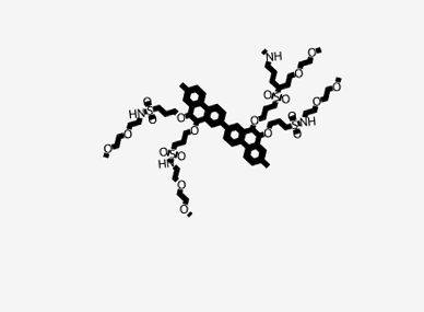 CNCCCC(CCOCCOC)S(=O)(=O)CCCOC1c2cc(-c3ccc4c(c3)C(OCCCS(=O)(=O)NCCOCCOC)C(OCCCS(=O)(=O)NCCOCCOC)c3cc(C)ccc3-4)ccc2-c2ccc(C)cc2C1OCCCS(=O)(=O)NCCOCCOC